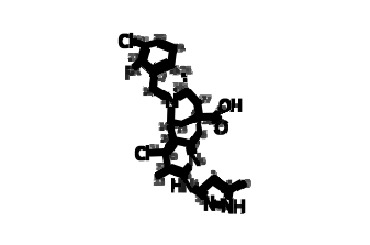 Cc1cc(Nc2nc(C[C@@]3(C(=O)O)CCN(Cc4cccc(Cl)c4F)[C@H](C)C3)c(C)c(Cl)c2C)n[nH]1